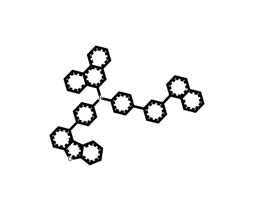 c1cc(-c2ccc(N(c3ccc(-c4cccc5oc6ccccc6c45)cc3)c3cc4ccccc4c4ccccc34)cc2)cc(-c2cccc3ccccc23)c1